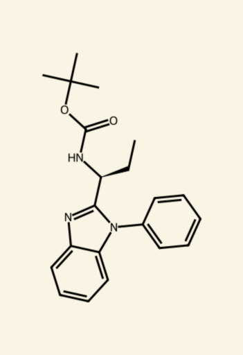 CC[C@H](NC(=O)OC(C)(C)C)c1nc2ccccc2n1-c1ccccc1